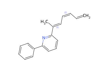 C=C/C=C\C=C(/C)c1cccc(-c2ccccc2)n1